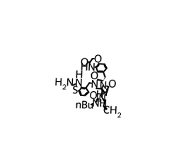 C=CCN(C(=O)NCCCC)N1CC(=O)N2[C@@H](Cc3ccc4c(c3)NC(=O)CO4)C(=O)N(Cc3cccc4c3NC(N)S4)C[C@@H]21